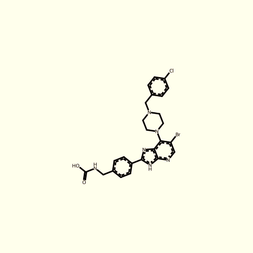 O=C(O)NCc1ccc(-c2nc3c(N4CCN(Cc5ccc(Cl)cc5)CC4)c(Br)cnc3[nH]2)cc1